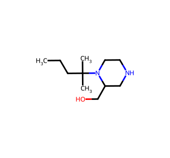 CCCC(C)(C)N1CCNCC1CO